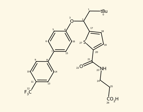 CC(C)(C)CC(Oc1ccc(-c2ccc(C(F)(F)F)cc2)cc1)c1ccc(C(=O)NCCC(=O)O)s1